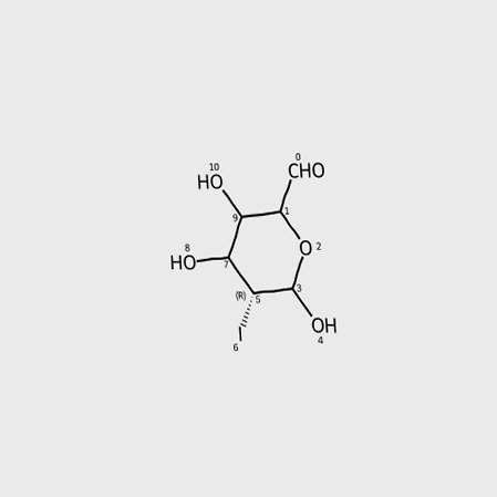 O=CC1OC(O)[C@H](I)C(O)C1O